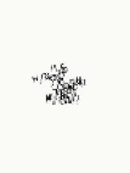 COc1ccc(C(OC[C@H]2O[C@@H](n3ccc4c(Cl)ncnc43)C[C@@H]2P(OCCC#N)N(C(C)C)C(C)C)(c2ccccc2)c2ccc(OC)cc2)cc1